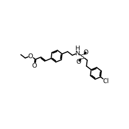 CCOC(=O)/C=C/c1ccc(CCNS(=O)(=O)CCc2ccc(Cl)cc2)cc1